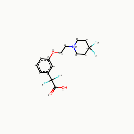 O=C(O)C(F)(F)c1cccc(OCCN2CCC(F)(F)CC2)c1